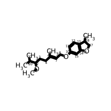 COC(CC/C(C)=C/COc1ccc2c(c1)OCC2C)C(C)C